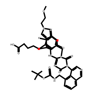 COCCn1cc2c(CCCCC(=O)O)c(Nc3nc(=O)n(-c4cncc5cccc(CNC(=O)OC(C)(C)C)c45)c(=O)n3Cc3cc(F)c(F)c(F)c3)c(Cl)cc2n1